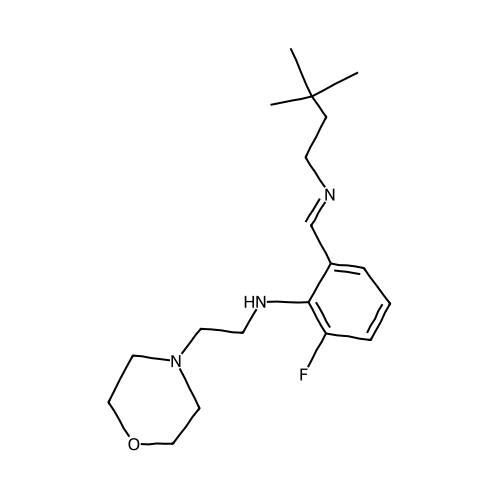 CC(C)(C)CCN=Cc1cccc(F)c1NCCN1CCOCC1